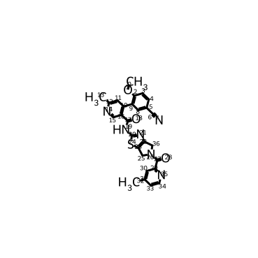 COc1ccc(C#N)cc1-c1cc(C)ncc1C(=O)Nc1nc2c(s1)CN(C(=O)c1cc(C)ccn1)C2